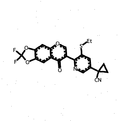 CCSc1cc(C2(C#N)CC2)cnc1-c1coc2cc3c(cc2c1=O)OC(F)(F)O3